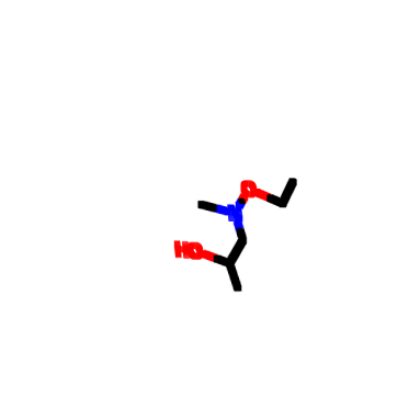 CCON(C)CC(C)O